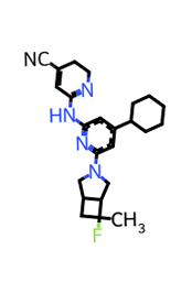 CC1(F)CC2CN(c3cc(C4CCCCC4)cc(NC4=NCCC(C#N)=C4)n3)CC21